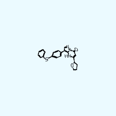 O=c1cc(C2CCCO2)[nH]c2c(-c3ccc(Sc4ccccc4)cc3)cnn12